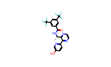 C[C@H](NC(=O)c1cc(C(F)(F)F)cc(C(F)(F)F)c1)c1nccnc1-c1ccc(O)cn1